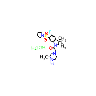 C[C@@H]1CN(CC(=O)N2CC(C)(C)c3cc(F)c(S(=O)(=O)N4CCCC4)cc32)CCN1.Cl.Cl